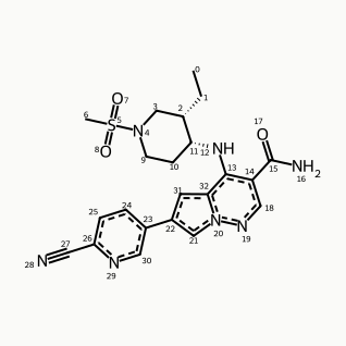 CC[C@H]1CN(S(C)(=O)=O)CC[C@H]1Nc1c(C(N)=O)cnn2cc(-c3ccc(C#N)nc3)cc12